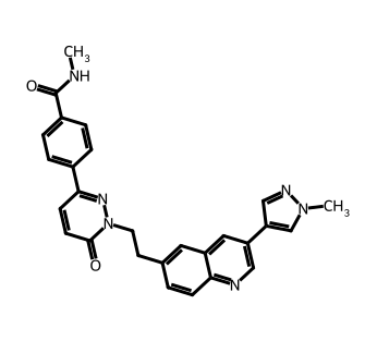 CNC(=O)c1ccc(-c2ccc(=O)n(CCc3ccc4ncc(-c5cnn(C)c5)cc4c3)n2)cc1